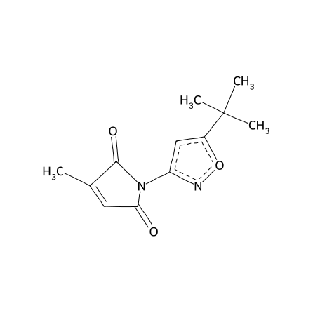 CC1=CC(=O)N(c2cc(C(C)(C)C)on2)C1=O